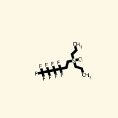 CCC[Si](Cl)(CCC)CCC(F)(F)C(F)(F)C(F)(F)C(F)(F)F